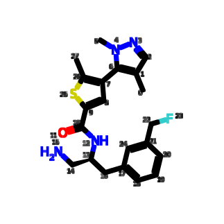 Cc1cnn(C)c1-c1cc(C(=O)N[C@H](CN)Cc2cccc(CF)c2)sc1C